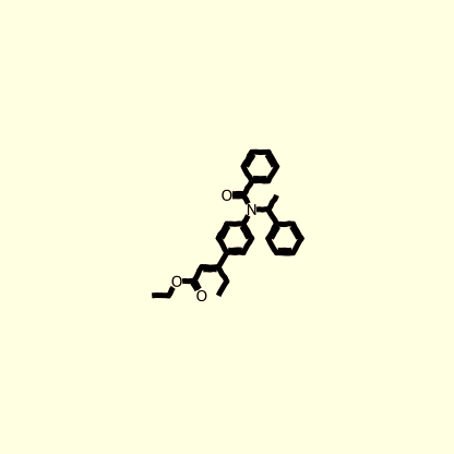 CCOC(=O)/C=C(\CC)c1ccc(N(C(=O)c2ccccc2)C(C)c2ccccc2)cc1